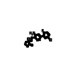 CC1(CSc2nnc(-c3cc(Cl)ccc3F)cc2N)CCOC1=O